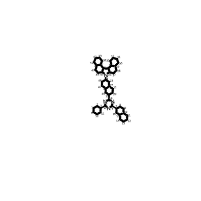 c1ccc(-c2nc(-c3ccc4ccccc4c3)nc(-c3ccc4cc(-n5c6ccc7ccccc7c6c6c7ccccc7ccc65)ccc4c3)n2)cc1